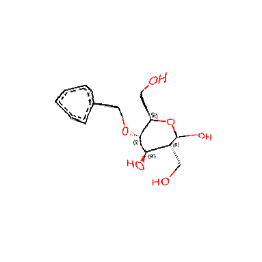 OC[C@H]1OC(O)[C@H](CO)[C@@H](O)[C@@H]1OCc1ccccc1